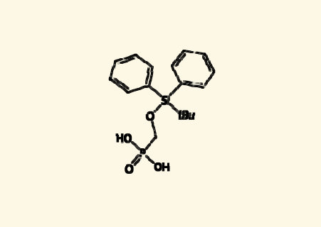 CC(C)(C)[Si](OCP(=O)(O)O)(c1ccccc1)c1ccccc1